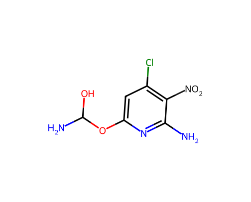 Nc1nc(OC(N)O)cc(Cl)c1[N+](=O)[O-]